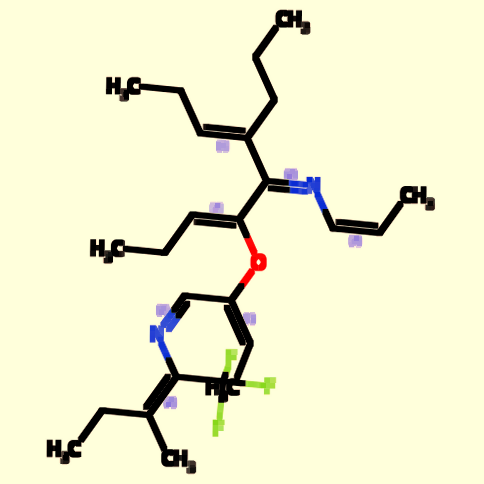 C\C=C/N=C(C(=C\CC)\OC(/C=N\C(=C(\C)CC)C(F)(F)F)=C/C)/C(=C/CC)CCC